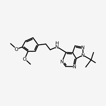 COc1ccc(CCNc2ncnc3c2cnn3C(C)(C)C)cc1OC